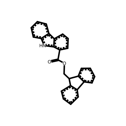 O=C(OCC1c2ccccc2-c2ccccc21)c1cccc2c1[nH]c1ccccc12